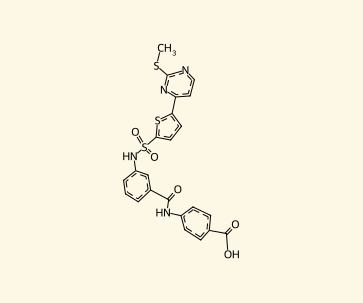 CSc1nccc(-c2ccc(S(=O)(=O)Nc3cccc(C(=O)Nc4ccc(C(=O)O)cc4)c3)s2)n1